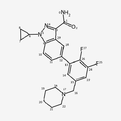 NC(=O)c1nn(C2CC2)c2ccc(-c3cc(CN4CCCCC4)cc(F)c3F)cc12